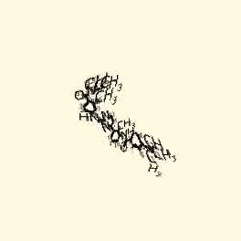 Cc1c(NC(=O)c2ccc(C(C)(C)C)cc2)cccc1-c1ccnc(Nc2ccc(C(=O)N(C)C(C)C)cc2)n1